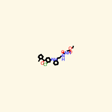 CCOC(=O)CNC(=O)NC/C=C/c1ccccc1Nc1ccc(C(=O)c2ccccc2C)c(Cl)c1